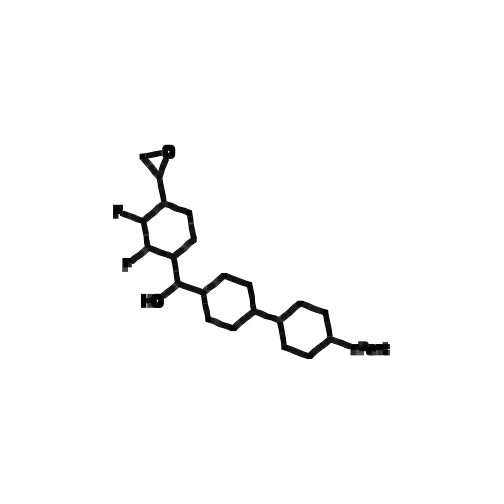 CCCCCC1CCC(C2CCC(C(O)C3CCC(C4CO4)C(F)C3F)CC2)CC1